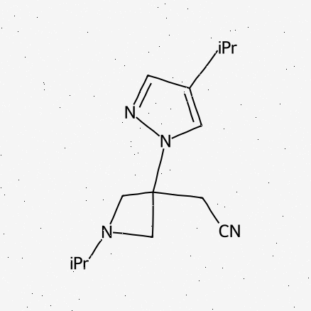 CC(C)c1cnn(C2(CC#N)CN(C(C)C)C2)c1